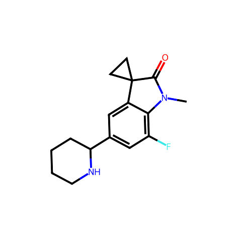 CN1C(=O)C2(CC2)c2cc(C3CCCCN3)cc(F)c21